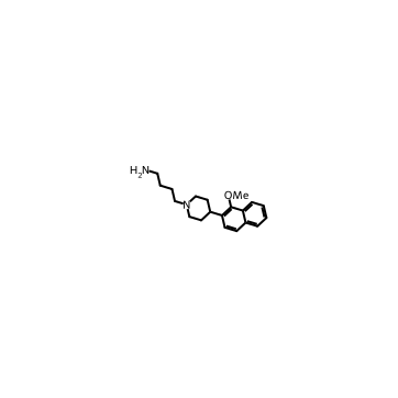 COc1c(C2CCN(CCCCN)CC2)ccc2ccccc12